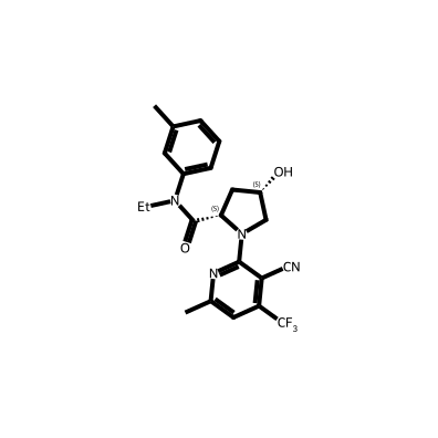 CCN(C(=O)[C@@H]1C[C@H](O)CN1c1nc(C)cc(C(F)(F)F)c1C#N)c1cccc(C)c1